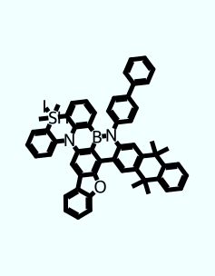 CC1(C)c2ccccc2C(C)(C)c2cc3c(cc21)-c1c2c(cc4c1oc1ccccc14)N1c4ccccc4[SH](C)(C)(I)c4cccc(c41)B2N3c1ccc(-c2ccccc2)cc1